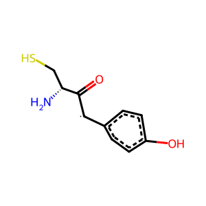 N[C@H](CS)C(=O)[CH]c1ccc(O)cc1